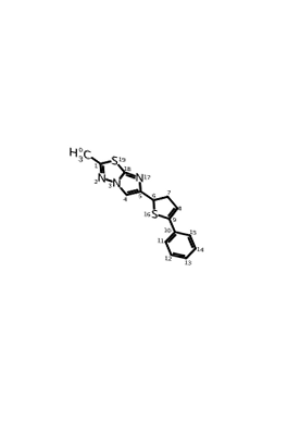 Cc1nn2cc(C3CC=C(c4ccccc4)S3)nc2s1